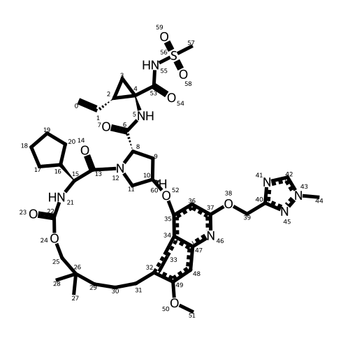 C=C[C@@H]1C[C@]1(NC(=O)[C@@H]1C[C@@H]2CN1C(=O)[C@H](C1CCCC1)NC(=O)OCC(C)(C)CCCc1cc3c(cc(OCc4ncn(C)n4)nc3cc1OC)O2)C(=O)NS(C)(=O)=O